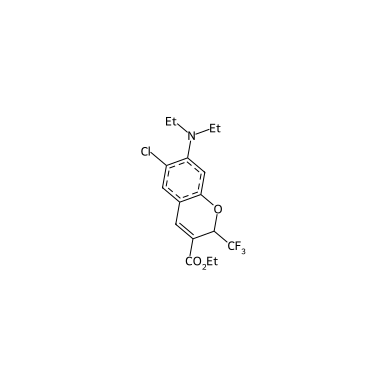 CCOC(=O)C1=Cc2cc(Cl)c(N(CC)CC)cc2OC1C(F)(F)F